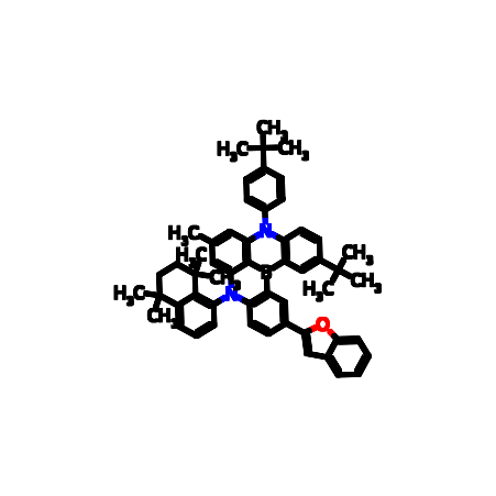 Cc1cc2c3c(c1)N(c1cccc4c1C(C)(C)CCC4(C)C)c1ccc(-c4cc5ccccc5o4)cc1B3c1cc(C(C)(C)C)ccc1N2c1ccc(C(C)(C)C)cc1